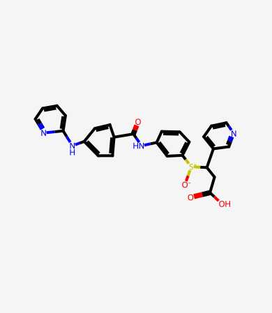 O=C(O)CC(c1cccnc1)[S+]([O-])c1cccc(NC(=O)c2ccc(Nc3ccccn3)cc2)c1